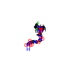 C#Cc1c(F)ccc2cccc(-c3ncc4c(N5C[C@H]6CC[C@@H](C5)N6C(=O)OC(C)(C)C)nc(OC[C@@]56CC[C@@H](COC(=O)N7CCC(OC8CCN(c9ccc%10c(c9)C(=O)N(C9CCC(=O)NC9=O)C%10=O)CC8)CC7)N5CC(=C)C6)nc4c3F)c12